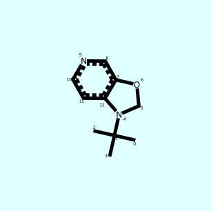 CC(C)(C)N1COc2cnccc21